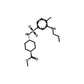 CCCNc1cc(S(=O)(=O)N[C@H]2CC[C@H](C(=O)OC)CC2)ccc1C